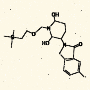 [CH2]c1ccc2c(c1)C(=O)N(C1CCC(O)N(COCC[Si](C)(C)C)C1O)C2